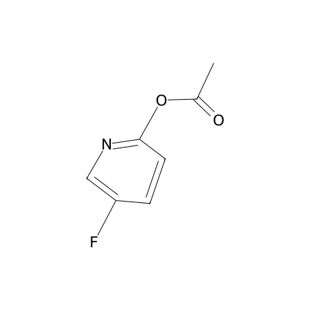 CC(=O)Oc1ccc(F)cn1